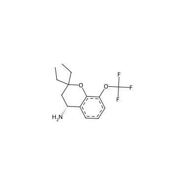 CCC1(CC)C[C@@H](N)c2cccc(OC(F)(F)F)c2O1